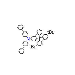 CC(C)(C)c1ccc2c(c1)C1(c3ccccc3-c3cc(N(c4ccc(-c5ccccc5)cc4)c4ccc(-c5ccccc5)cc4)ccc31)c1cc(C(C)(C)C)ccc1-2